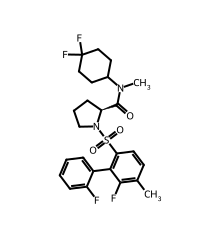 Cc1ccc(S(=O)(=O)N2CCC[C@H]2C(=O)N(C)C2CCC(F)(F)CC2)c(-c2ccccc2F)c1F